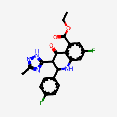 CCOC(=O)c1cc(F)cc2c1C(=O)C(c1nc(C)n[nH]1)C(c1ccc(F)cc1)N2